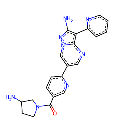 Nc1nn2cc(-c3ccc(C(=O)N4CCC(N)C4)cn3)cnc2c1-c1ccccn1